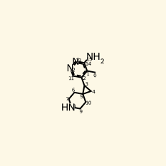 Cc1c(C2CC23CCNCC3)cnnc1N